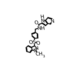 Cn1nc(S(=O)(=O)c2ccc(CNC(=O)c3cc4cnccc4[nH]3)cc2)c2ccccc21